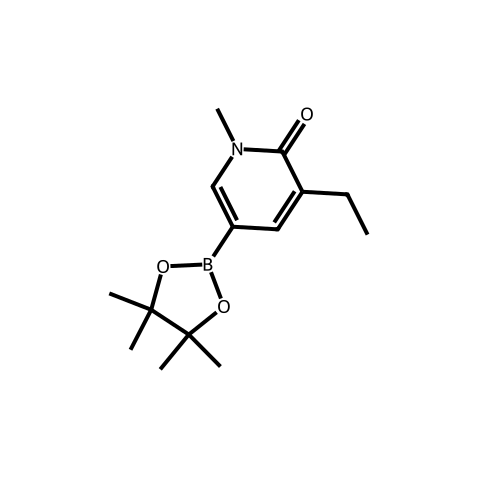 CCc1cc(B2OC(C)(C)C(C)(C)O2)cn(C)c1=O